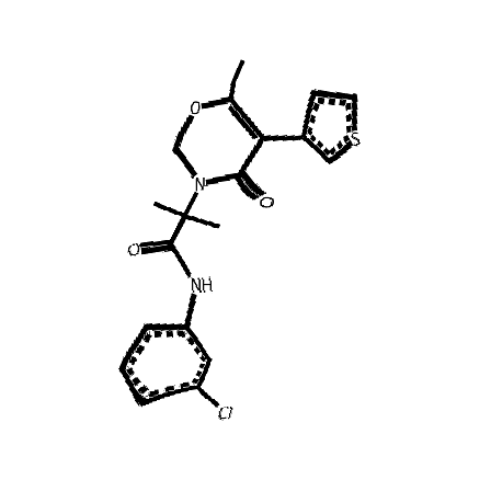 CC1=C(c2ccsc2)C(=O)N(C(C)(C)C(=O)Nc2cccc(Cl)c2)CO1